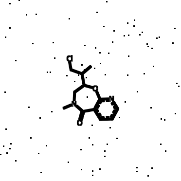 CC(CCl)C1CN(C)C(=O)c2cccnc2O1